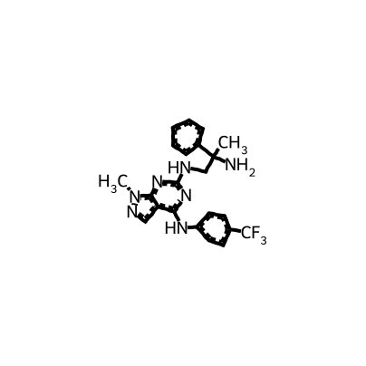 Cn1ncc2c(Nc3ccc(C(F)(F)F)cc3)nc(NCC(C)(N)c3ccccc3)nc21